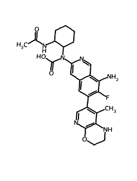 CC(=O)NC1CCCCC1N(C(=O)O)c1cc2cc(-c3cnc4c(c3C)NCCO4)c(F)c(N)c2cn1